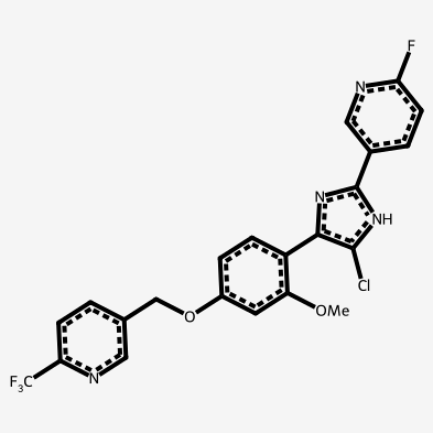 COc1cc(OCc2ccc(C(F)(F)F)nc2)ccc1-c1nc(-c2ccc(F)nc2)[nH]c1Cl